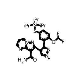 CC(C)[Si](Sc1ccc(OC(F)F)c(-c2nn(C)cc2-c2nn3cccnc3c2C(N)=O)c1)(C(C)C)C(C)C